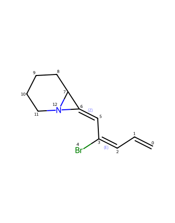 C=C/C=C(Br)\C=C1\C2CCCCN12